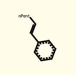 CCCCCC=Cc1c[c]ccc1